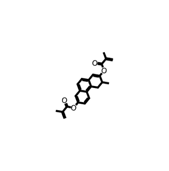 C=C(C)C(=O)OC1=Cc2ccc3cc(OC(=O)C(=C)C)ccc3c2CC1C